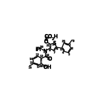 Cc1cccc(-c2cc(N(C(=O)c3ccc(C)cc3O)C(C)C)c(OC(=O)O)s2)c1